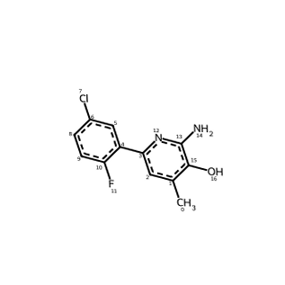 Cc1cc(-c2cc(Cl)ccc2F)nc(N)c1O